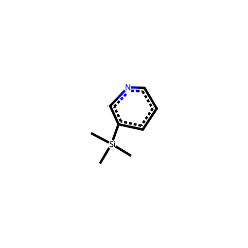 C[Si](C)(C)c1[c]nccc1